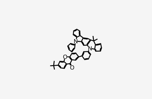 CC(C)(C)c1ccc2c(=O)c3cc(-c4cccc(N5c6ccccc6C(C)(C)c6cc7c8ccccc8n(-c8ccccc8)c7cc65)c4)ccc3oc2c1